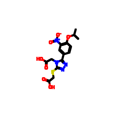 CC(C)Oc1ccc(-c2nnc(SCC(=O)O)n2CC(=O)O)cc1[N+](=O)[O-]